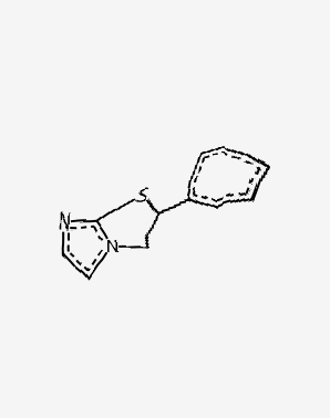 c1ccc(C2Cn3ccnc3S2)cc1